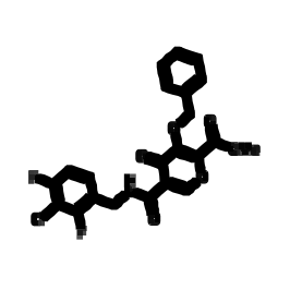 COC(=O)c1occ(C(=O)NCc2ccc(F)c(Cl)c2F)c(=O)c1OCc1ccccc1